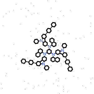 c1ccc(-c2ccc(-c3ccc4c(c3)c3cc(N(c5cc(N(c6ccc7c(c6)c6cc(-c8ccc(-c9ccccc9)cc8)ccc6n7-c6ccccc6)c6cccc7ccccc67)cc(N(c6ccc7c(c6)c6cc(-c8ccc(-c9ccccc9)cc8)ccc6n7-c6ccccc6)c6cccc7ccccc67)c5)c5cccc6ccccc56)ccc3n4-c3ccccc3)cc2)cc1